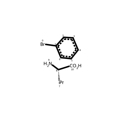 Brc1ccccc1.CC(C)[C@H](N)C(=O)O